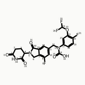 O=C1CCC(N2Cc3c(F)cc(CN(C(=O)O)c4ccc(F)c(OC(F)F)c4)cc3C2=O)C(=O)N1